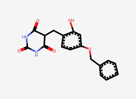 O=C1NC(=O)C(Cc2ccc(OCc3ccccc3)cc2O)C(=O)N1